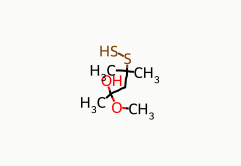 COC(C)(O)CC(C)(C)SS